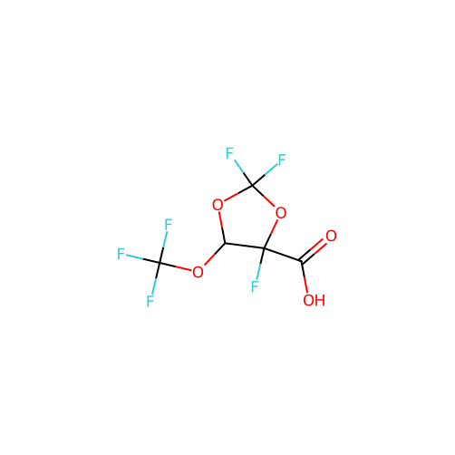 O=C(O)C1(F)OC(F)(F)OC1OC(F)(F)F